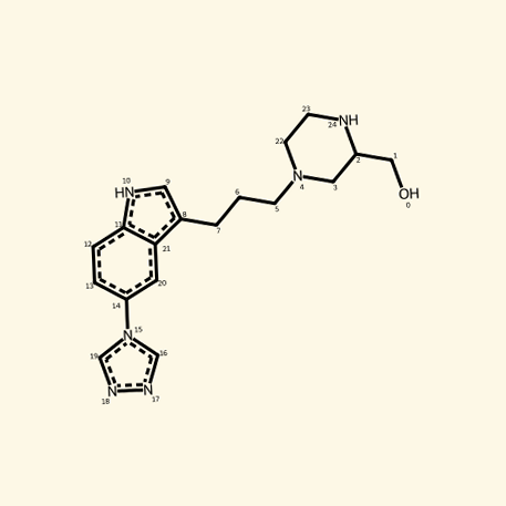 OCC1CN(CCCc2c[nH]c3ccc(-n4cnnc4)cc23)CCN1